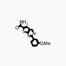 COc1cccc(-c2ncc3cc(C(N)=O)sc3n2)c1